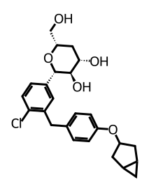 OC[C@@H]1C[C@H](O)[C@@H](O)[C@H](c2ccc(Cl)c(Cc3ccc(OC4CC5CC5C4)cc3)c2)O1